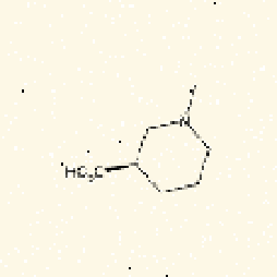 CN1CCC[C@@H](C(=O)O)C1